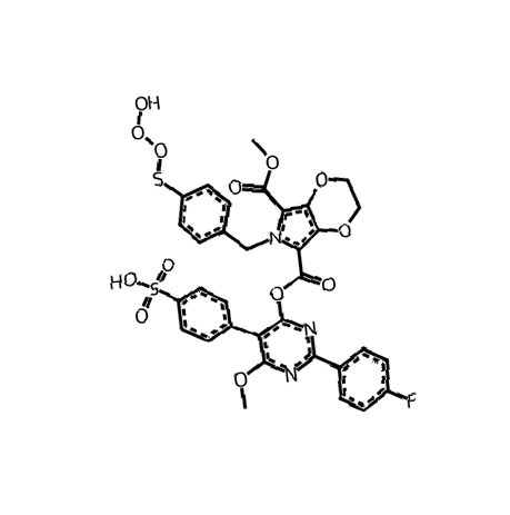 COC(=O)c1c2c(c(C(=O)Oc3nc(-c4ccc(F)cc4)nc(OC)c3-c3ccc(S(=O)(=O)O)cc3)n1Cc1ccc(SOOO)cc1)OCCO2